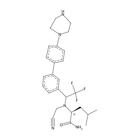 CC(C)C[C@@H](C(N)=O)N(CC#N)C(c1cccc(-c2ccc(N3CCNCC3)cc2)c1)C(F)(F)F